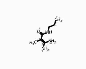 CCCNC(=O)C(C)=C(N)N